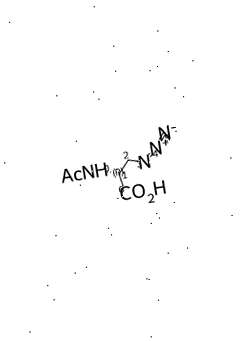 CC(=O)N[C@H](CN=[N+]=[N-])C(=O)O